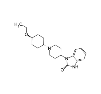 CCO[C@H]1CC[C@H](N2CCC(n3c(=O)[nH]c4ccccc43)CC2)CC1